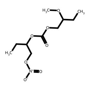 CCC(COC(=O)OC(CC)CO[N+](=O)[O-])OC